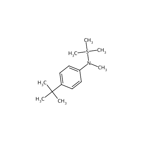 CN(c1ccc(C(C)(C)C)cc1)S(C)(C)C